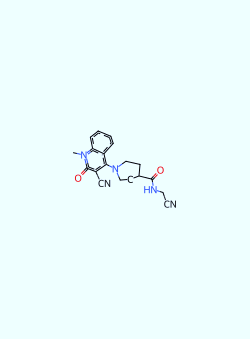 Cn1c(=O)c(C#N)c(N2CCC(C(=O)NCC#N)CC2)c2ccccc21